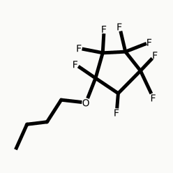 CCCCOC1(F)C(F)C(F)(F)C(F)(F)C1(F)F